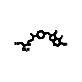 CC(CCN[C@H](CO)C(=O)O)C1CCC(CN2Cc3ccc(O)c(F)c3C2=O)CC1